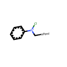 CCCCCC[N+](Cl)c1ccccc1